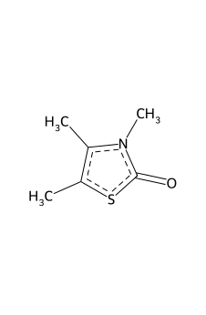 Cc1sc(=O)n(C)c1C